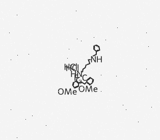 COc1ccc(CCNCCCCCCNCCc2ccccc2)c(CCc2ccccc2C(F)(F)F)c1OC.Cl.Cl